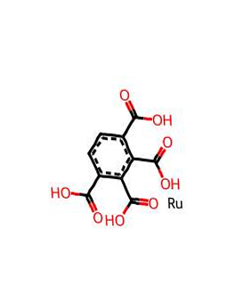 O=C(O)c1ccc(C(=O)O)c(C(=O)O)c1C(=O)O.[Ru]